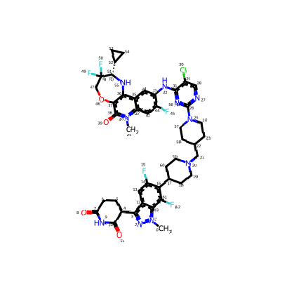 Cn1nc(C2CCC(=O)NC2=O)c2cc(F)c(C3CCN(CC4CCN(c5ncc(Cl)c(Nc6cc7c8c(c(=O)n(C)c7cc6F)OCC(F)(F)[C@H](C6CC6)N8)n5)CC4)CC3)c(F)c21